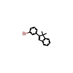 CC1(C)C(c2cccc(Br)c2)=Cc2ccccc21